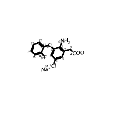 Nc1c(CC(=O)[O-])cc(Cl)cc1Oc1ccccc1F.[Na+]